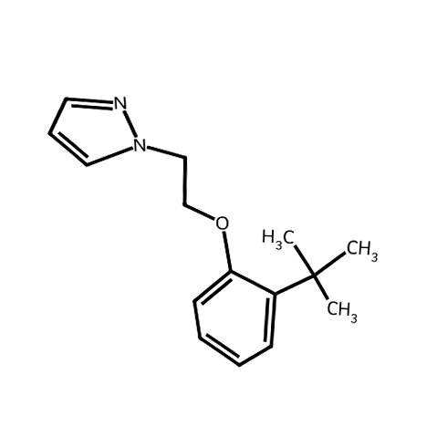 CC(C)(C)c1ccccc1OCCn1cccn1